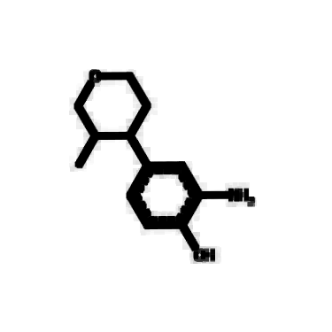 CC1COCCC1c1ccc(O)c(N)c1